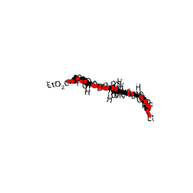 CCOC(=O)/C(C)=C/c1cc(C)c(Oc2ccc(S(=O)(=O)NCCOCCOCCOCCNC(=O)C(O)[C@@H](O)C(=O)NCCOCCOCCOCCNS(=O)(=O)c3ccc(Oc4c(F)cc(/C=C(\C)CC)cc4F)cc3)cc2)c(F)c1